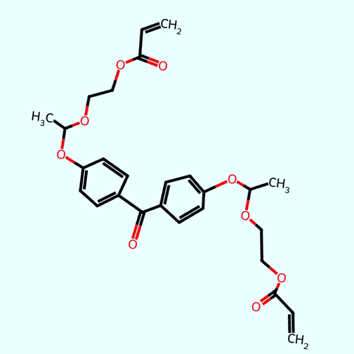 C=CC(=O)OCCOC(C)Oc1ccc(C(=O)c2ccc(OC(C)OCCOC(=O)C=C)cc2)cc1